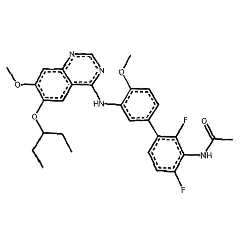 CCC(CC)Oc1cc2c(Nc3cc(-c4ccc(F)c(NC(C)=O)c4F)ccc3OC)ncnc2cc1OC